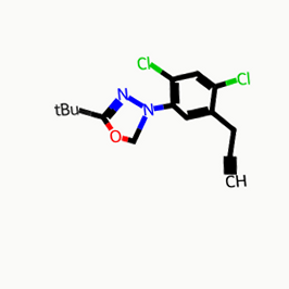 C#CCc1cc(N2COC(C(C)(C)C)=N2)c(Cl)cc1Cl